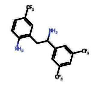 Nc1ccc(C(F)(F)F)cc1CC(N)c1cc(C(F)(F)F)cc(C(F)(F)F)c1